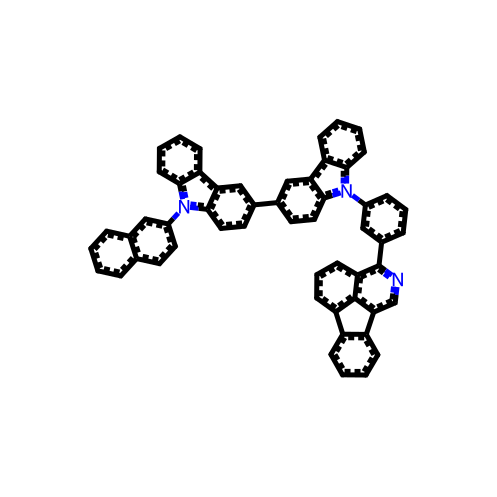 c1cc(-c2ncc3c4c(cccc24)-c2ccccc2-3)cc(-n2c3ccccc3c3cc(-c4ccc5c(c4)c4ccccc4n5-c4ccc5ccccc5c4)ccc32)c1